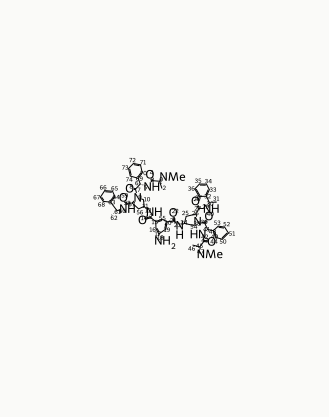 CN[C@@H](C)C(=O)N[C@H](C(=O)N1C[C@@H](NC(=O)c2cc(N)cc(C(=O)N[C@H]3C[C@@H](C(=O)N[C@H](C)c4ccccc4)N(C(=O)[C@@H](NC(=O)[C@H](C)NC)c4ccccc4)C3)c2)C[C@H]1C(=O)N[C@H](C)c1ccccc1)c1ccccc1